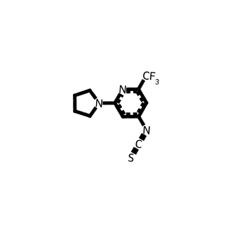 FC(F)(F)c1cc(N=C=S)cc(N2CCCC2)n1